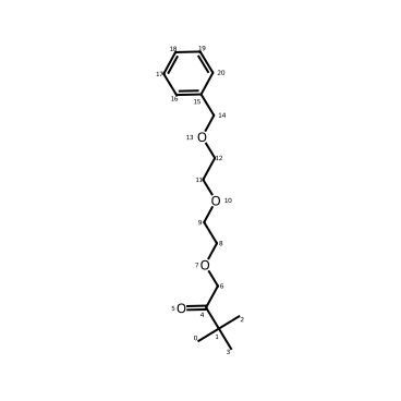 CC(C)(C)C(=O)COCCOCCOCc1ccccc1